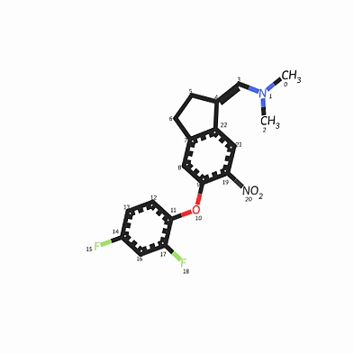 CN(C)/C=C1/CCc2cc(Oc3ccc(F)cc3F)c([N+](=O)[O-])cc21